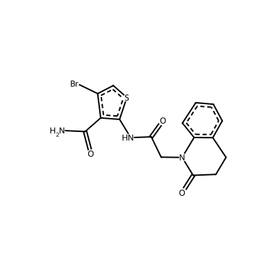 NC(=O)c1c(Br)csc1NC(=O)CN1C(=O)CCc2ccccc21